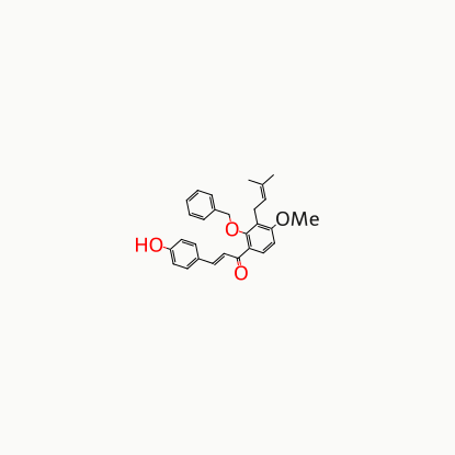 COc1ccc(C(=O)C=Cc2ccc(O)cc2)c(OCc2ccccc2)c1CC=C(C)C